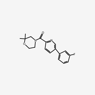 CC1(C)CN(C(=O)c2ccc(-c3cccc(F)c3)cn2)CCO1